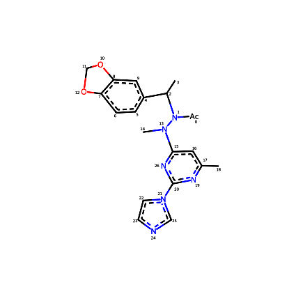 CC(=O)N(C(C)c1ccc2c(c1)OCO2)N(C)c1cc(C)nc(-n2ccnc2)n1